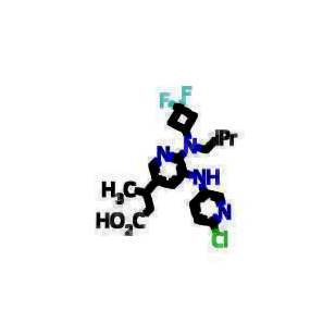 CC(C)CN(c1ncc(C(C)CC(=O)O)cc1Nc1ccc(Cl)nc1)C1CC(F)(F)C1